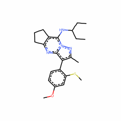 CCC(CC)Nc1c2c(nc3c(-c4ccc(OC)cc4SC)c(C)nn13)CCC2